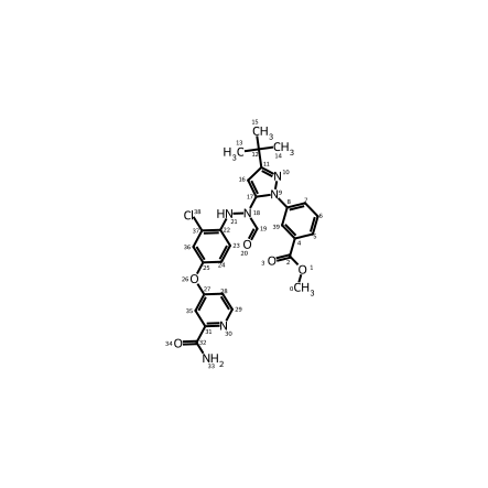 COC(=O)c1cccc(-n2nc(C(C)(C)C)cc2N(C=O)Nc2ccc(Oc3ccnc(C(N)=O)c3)cc2Cl)c1